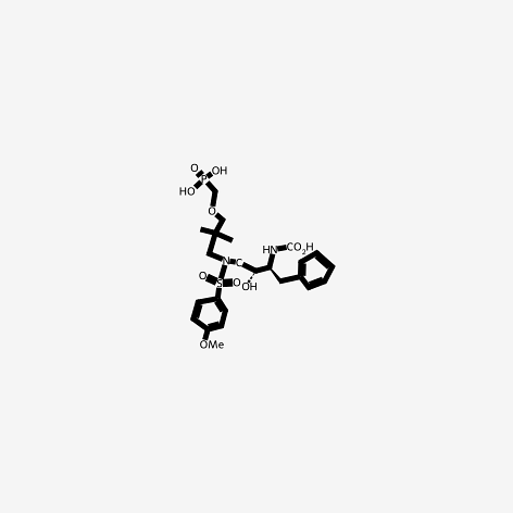 COc1ccc(S(=O)(=O)N(C[C@@H](O)[C@H](Cc2ccccc2)NC(=O)O)CC(C)(C)COCP(=O)(O)O)cc1